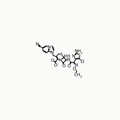 CCO/N=C(\C(=O)N[C@@H]1C(=O)N2C(C(=O)[O-])=C(Cn3cc[n+]4cc(C#N)ccc34)CS[C@@H]12)c1nc(N)sc1Cl